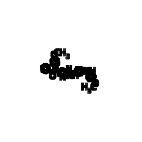 COc1ccc(Nc2ccc(-c3nc4cc(N(C(=O)c5ccccc5)c5ccc(OC)cc5)cnc4[nH]3)cc2)cc1